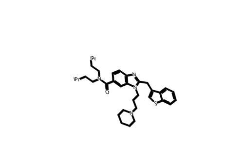 CC(C)CCN(CCC(C)C)C(=O)c1ccc2nc(Cc3csc4ccccc34)n(CCCN3CCCCC3)c2c1